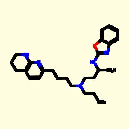 COCCN(CCCCc1ccc2c(n1)NCCC2)CCC(Nc1nc2ccccc2o1)C(=O)O